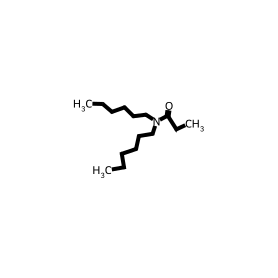 C[CH]C(=O)N(CCCCCC)CCCCCC